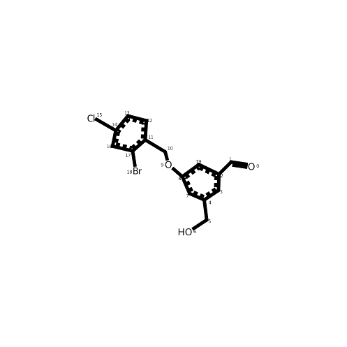 O=Cc1cc(CO)cc(OCc2ccc(Cl)cc2Br)c1